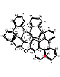 c1ccc(-c2ccccc2-c2cc3c(oc4cccc(N(c5ccccc5-c5ccccc5)c5cccc6ccccc56)c43)c3ccccc23)cc1